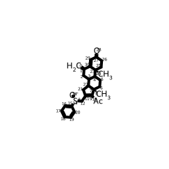 C=C1CC2C(CC[C@]3(C)C(C(C)=O)=C(C[S+]([O-])c4ccccc4)CC23)[C@@]2(C)CCC(=O)C=C12